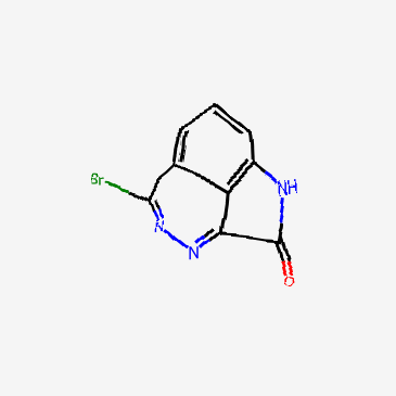 O=C1Nc2cccc3c(Br)nnc1c23